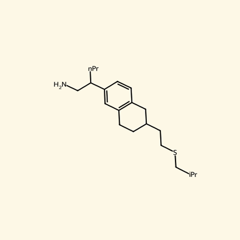 CCCC(CN)c1ccc2c(c1)CCC(CCSCC(C)C)C2